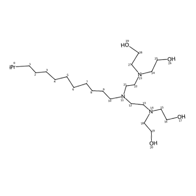 CC(C)CCCCCCCCCCN(CCN(CCO)CCO)CCN(CCO)CCO